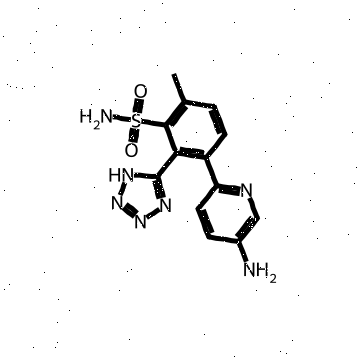 Cc1ccc(-c2ccc(N)cn2)c(-c2nnn[nH]2)c1S(N)(=O)=O